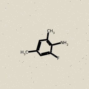 Cc1cc(C)c(N)c(F)c1